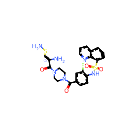 NS/C=C(\N)C(=O)N1CCN(C(=O)c2ccc(NS(=O)(=O)c3c#ccc4cccnc34)c(F)c2)CC1